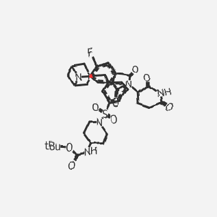 CC(C)(C)OC(=O)NC1CCN(S(=O)(=O)c2cccc(CN3CC4CC(C3)N4c3cc4c(cc3F)C(=O)N(C3CCC(=O)NC3=O)C4=O)c2)CC1